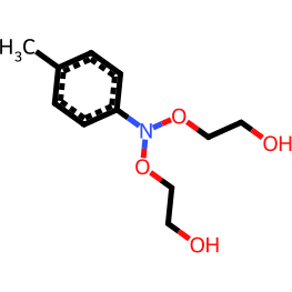 Cc1ccc(N(OCCO)OCCO)cc1